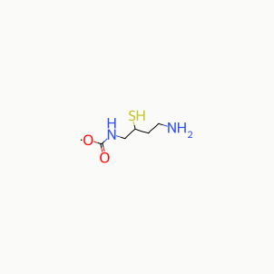 NCCC(S)CNC([O])=O